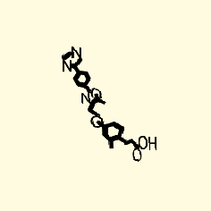 Cc1cc(OCCc2nc(-c3ccc(-c4cnccn4)cc3)oc2C)ccc1CCC(=O)O